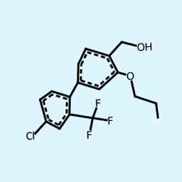 CCCOc1cc(-c2ccc(Cl)cc2C(F)(F)F)ccc1CO